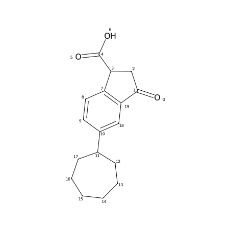 O=C1CC(C(=O)O)c2ccc(C3CCCCCC3)cc21